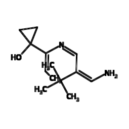 C\C=C(/N=C\C(=C/N)C(C)(C)C)C1(O)CC1